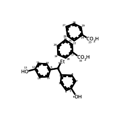 CCC(c1ccc(O)cc1)c1ccc(O)cc1.O=C(O)c1ccccc1.O=C(O)c1ccccc1